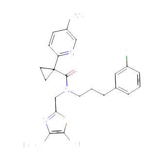 CCOC(=O)c1nc(CN(CCCc2cccc(F)c2)C(=O)C2(c3ccc(OC)cn3)CC2)sc1C